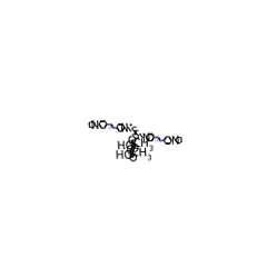 C(=C\c1cc[n+](CCSSCC[n+]2ccc(/C=C/c3ccc(N4CCCC4)cc3)cc2)cc1)/c1ccc(N2CCCC2)cc1.CS(=O)(=O)O.CS(=O)(=O)O